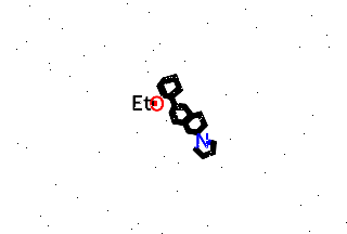 CCOc1ccccc1-c1ccc2c(c1)CCC(N1CCCC1)C2